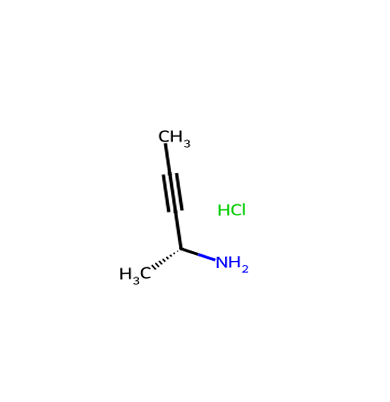 CC#C[C@@H](C)N.Cl